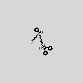 O=C(c1ccccc1)N(CCCCCBr)CCCCCSc1nc(-c2ccccc2)c(-c2ccccc2)[nH]1